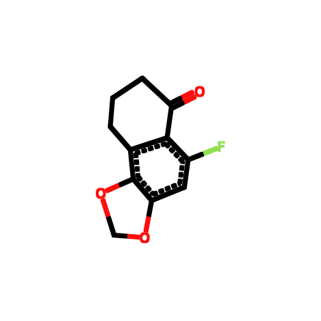 O=C1CCCc2c3c(cc(F)c21)OCO3